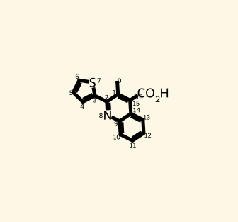 Cc1c(-c2cccs2)nc2ccccc2c1C(=O)O